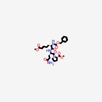 COC(=O)/C=C/CC[C@H](NC(=O)OCc1ccccc1)C(=O)N[C@@H](CCC(N)=O)C(=O)N1CCC[C@H]1C(=O)OC